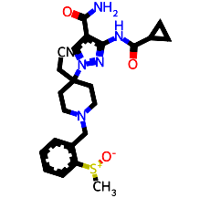 C[S+]([O-])c1ccccc1CN1CCC(CC#N)(n2cc(C(N)=O)c(NC(=O)C3CC3)n2)CC1